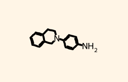 Nc1ccc(N2CCc3ccccc3C2)cc1